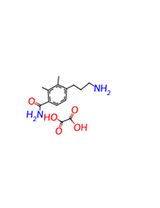 Cc1c(CCCN)ccc(C(N)=O)c1C.O=C(O)C(=O)O